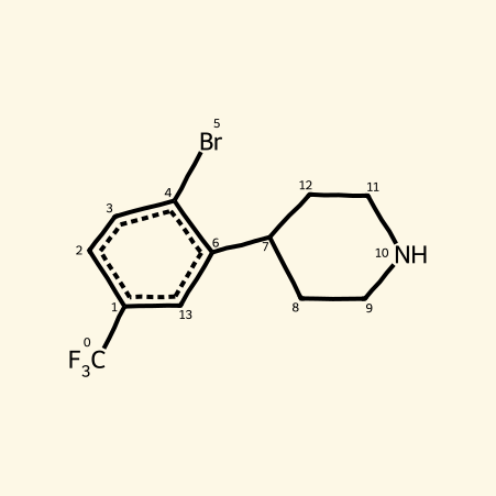 FC(F)(F)c1ccc(Br)c(C2CCNCC2)c1